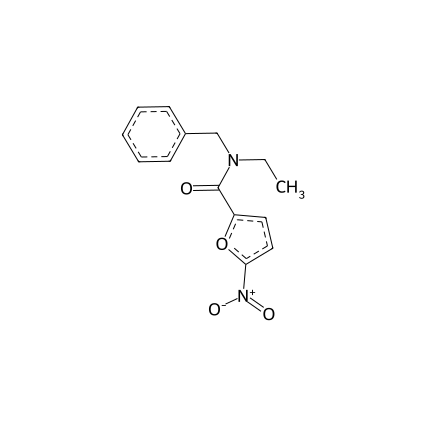 CCN(Cc1ccccc1)C(=O)c1ccc([N+](=O)[O-])o1